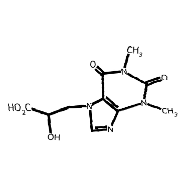 Cn1c(=O)c2c(ncn2CC(O)C(=O)O)n(C)c1=O